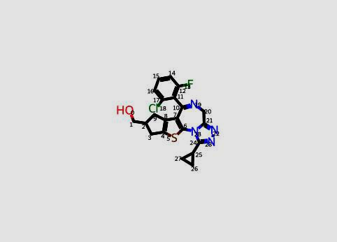 OCC1Cc2sc3c(c2C1)C(c1c(F)cccc1Cl)=NCc1nnc(C2CC2)n1-3